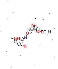 CC#C[C@]1(O)[C@H](C)CC2C3CCC4=CC(=O)CCC4=C3[C@@H](c3ccc(N(C)CCO[C@H]4CC[C@@]5(C)[C@@H](C4)C[C@@H](O)[C@@H]4[C@@H]5C[C@H](O)[C@]5(C)[C@@H]([C@H](C)CCC(=O)O)CC[C@@H]45)cc3)C[C@@]21C